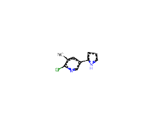 N#Cc1cc(-c2ccc[nH]2)cnc1Cl